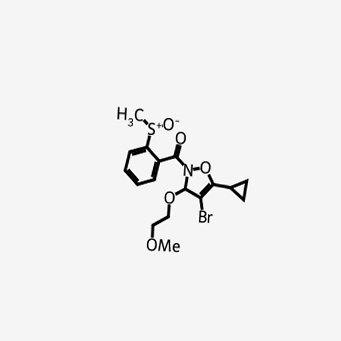 COCCOC1C(Br)=C(C2CC2)ON1C(=O)c1ccccc1[S+](C)[O-]